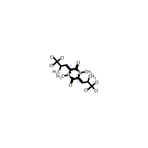 CC(/C=c1/c(=O)n(C)/c(=C\C(C)C(Cl)(Cl)Cl)c(=O)n1C)C(Cl)(Cl)Cl